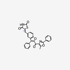 Cc1oc(-c2ccccc2)nc1C(=O)c1oc2ccc(/C=C3\SC(=O)NC3=O)cc2c1-c1ccccc1